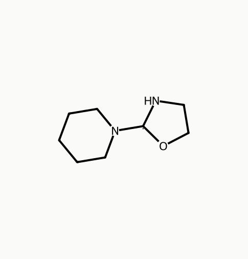 C1CCN([C]2NCCO2)CC1